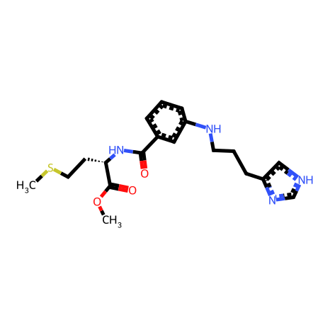 COC(=O)[C@H](CCSC)NC(=O)c1cccc(NCCCc2c[nH]cn2)c1